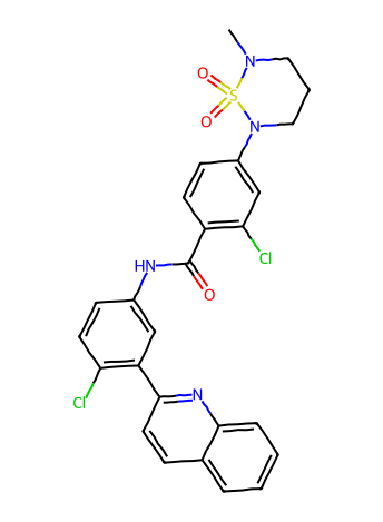 CN1CCCN(c2ccc(C(=O)Nc3ccc(Cl)c(-c4ccc5ccccc5n4)c3)c(Cl)c2)S1(=O)=O